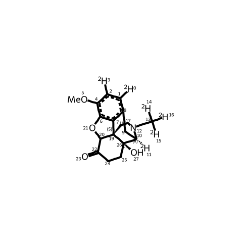 [2H]c1c([2H])c(OC)c2c3c1C[C@@]1([2H])N(C([2H])([2H])[2H])CC[C@@]34C(O2)C(=O)CC[C@]41O